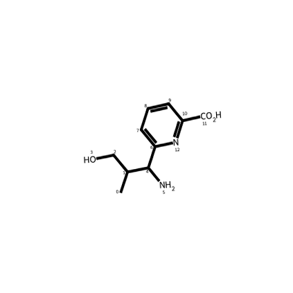 CC(CO)C(N)c1cccc(C(=O)O)n1